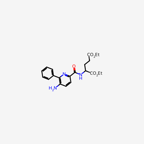 CCOC(=O)CCC(NC(=O)c1ccc(N)c(-c2ccccc2)n1)C(=O)OCC